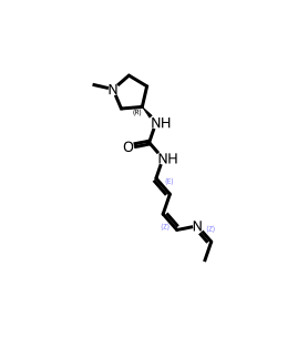 C\C=N/C=C\C=C\NC(=O)N[C@@H]1CCN(C)C1